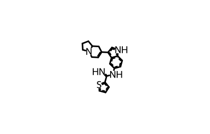 N=C(Nc1ccc2[nH]cc(C3=CCN4CCCC4C3)c2c1)c1cccs1